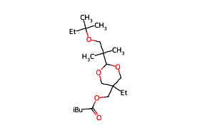 CCC(C)C(=O)OCC1(CC)COC(C(C)(C)COC(C)(C)CC)OC1